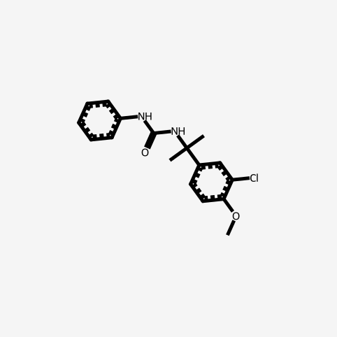 COc1ccc(C(C)(C)NC(=O)Nc2ccccc2)cc1Cl